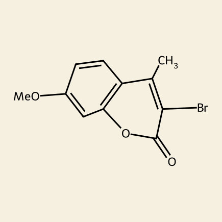 COc1ccc2c(C)c(Br)c(=O)oc2c1